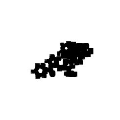 CCCCC1CC(C23C[C@@H]4[C@H](C)CC[C@H]4C4(C=O)CC2C=C(C(C)C)C34C(=O)O)OC1CN1CCC[C@H]1C(=O)N1CCCCC1